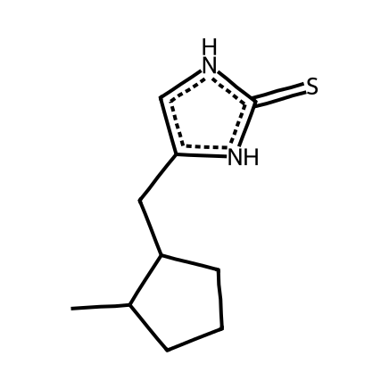 CC1CCCC1Cc1c[nH]c(=S)[nH]1